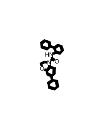 O=C(Nc1ccccc1-c1ccccc1)N1CCOc2cc(-c3ccccc3)ccc21